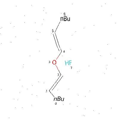 CCCCC=COC=CCCCC.F